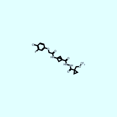 O=C(COc1ccc(Cl)c(F)c1)NC12CC(C(=O)NNC(=O)C3(COC(F)(F)F)CC3)(C1)C2